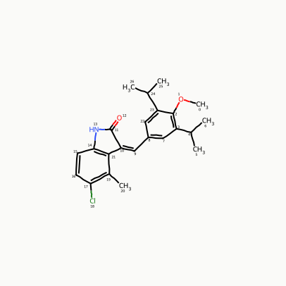 COc1c(C(C)C)cc(C=C2C(=O)Nc3ccc(Cl)c(C)c32)cc1C(C)C